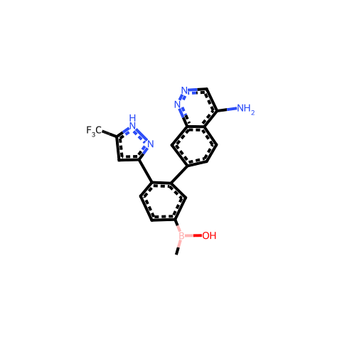 CB(O)c1ccc(-c2cc(C(F)(F)F)[nH]n2)c(-c2ccc3c(N)cnnc3c2)c1